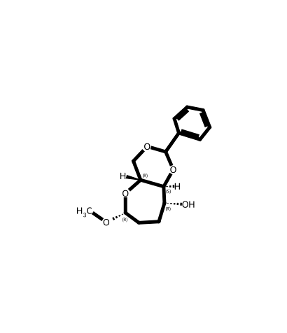 CO[C@H]1CC[C@@H](O)[C@@H]2OC(c3ccccc3)OC[C@H]2O1